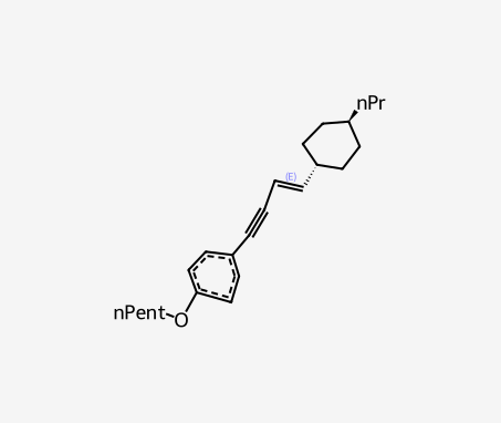 CCCCCOc1ccc(C#C/C=C/[C@H]2CC[C@H](CCC)CC2)cc1